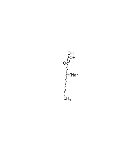 CCCCCCCCCCCCCCCCCC(=O)OCC(O)CO.[Na+].[OH-]